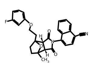 CC12CCC(CCOc3cccc(F)c3)(O1)[C@@H]1C(=O)N(c3ccc(C#N)c4ccccc34)C(=O)[C@@H]12